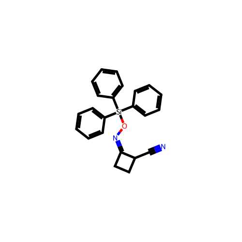 N#CC1CCC1=NO[Si](c1ccccc1)(c1ccccc1)c1ccccc1